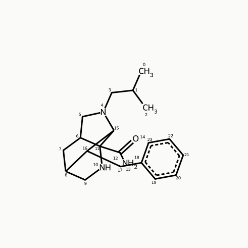 CC(C)CN1CC2CC3CNC2(C(N)=O)C1C3Cc1ccccc1